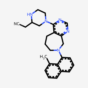 Cc1cccc2cccc(N3CCCc4c(ncnc4N4CCNC(CC#N)C4)C3)c12